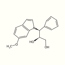 COc1ccc2ccn([C@@H](c3ccccc3)[C@H](O)CO)c2c1